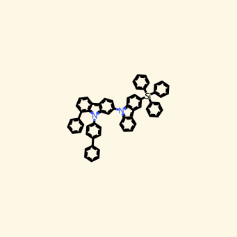 c1ccc(-c2ccc(-n3c4cc(-n5c6ccccc6c6cc([Si](c7ccccc7)(c7ccccc7)c7ccccc7)ccc65)ccc4c4cccc(-c5ccccc5)c43)cc2)cc1